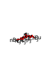 CCCCC(C)CCc1ccc2c(c1)C(C)(C)c1cc(-c3ccc(-c4ccc5c(c4)C(C)(C)c4cc(CCC(C)CC)ccc4-5)c4nsnc34)ccc1-2